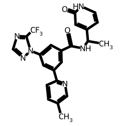 Cc1ccc(-c2cc(C(=O)NC(C)c3cc[nH]c(=O)c3)cc(-n3ncnc3C(F)(F)F)c2)nc1